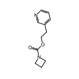 O=C(OCCc1cccnc1)N1C[CH]C1